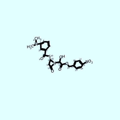 CN(C)c1cccc(C(=O)S[C@H]2CC(=O)N2C(O)C(=O)OCc2ccc([N+](=O)[O-])cc2)c1